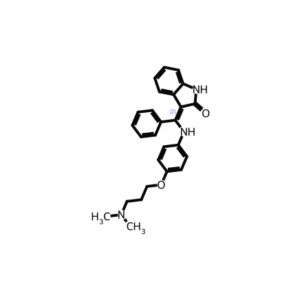 CN(C)CCCOc1ccc(N/C(=C2\C(=O)Nc3ccccc32)c2ccccc2)cc1